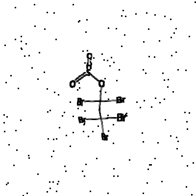 O=[SH](=O)OC(Br)(Br)C(Br)(Br)Br